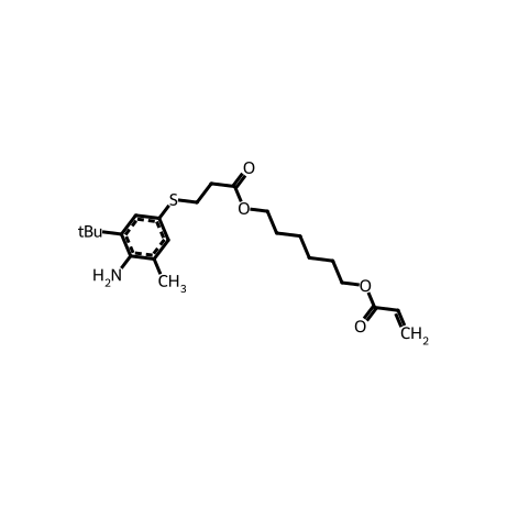 C=CC(=O)OCCCCCCOC(=O)CCSc1cc(C)c(N)c(C(C)(C)C)c1